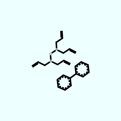 C=CCN(CC=C)ON(CC=C)CC=C.c1ccc(-c2ccccc2)cc1